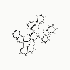 c1ccc2cc3c(cc2c1)-c1cccc2cccc(c12)N3c1nc(-c2cccc3c2oc2ccccc23)nc(-c2cccc3c2sc2ccccc23)n1